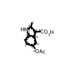 CC(=O)Oc1ccc2[nH]c(C)c(C(=O)O)c2c1